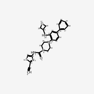 C#Cc1nc(NC(=O)N2CCN(c3ccc(-c4ccccc4)cc3NC3COC3)CC2)cs1